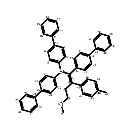 COCC/C(=C(\B(c1ccc(-c2ccccc2)cc1)c1ccc(-c2ccccc2)cc1)c1ccc(-c2ccccc2)cc1)c1ccc(C)cc1